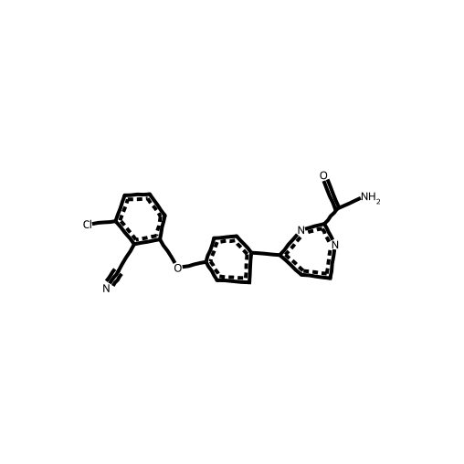 N#Cc1c(Cl)cccc1Oc1ccc(-c2ccnc(C(N)=O)n2)cc1